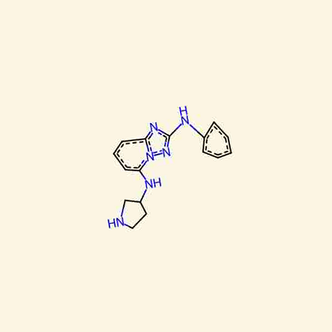 c1ccc(Nc2nc3cccc(NC4CCNC4)n3n2)cc1